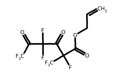 C=CCOC(=O)C(F)(C(=O)C(F)(F)C(=O)C(F)(F)F)C(F)(F)F